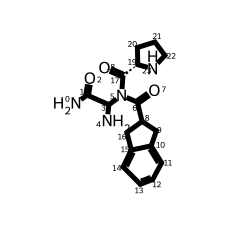 NC(=O)C(N)N(C(=O)C1Cc2ccccc2C1)C(=O)[C@@H]1CCCN1